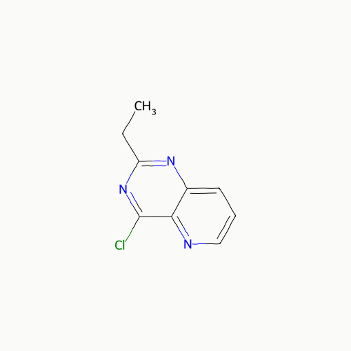 CCc1nc(Cl)c2ncccc2n1